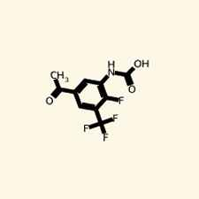 CC(=O)c1cc(NC(=O)O)c(F)c(C(F)(F)F)c1